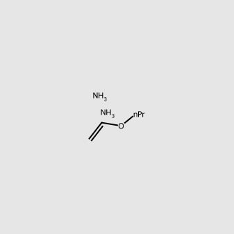 C=COCCC.N.N